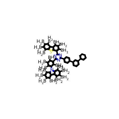 Bc1c(B)c(-c2nc(-c3ccc(-c4cccc(-c5ccccc5)c4)cc3)nc(-c3c(B)c(B)c(B)c4c3sc3c(B)c(B)c(B)c(B)c34)n2)c(B)c(-n2c3c(B)c(B)c(B)c(B)c3c3c(B)c(B)c(B)c(B)c32)c1B